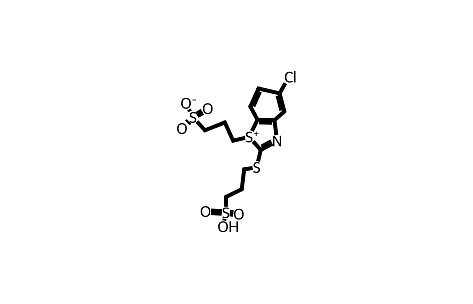 O=S(=O)([O-])CCC[s+]1c(SCCCS(=O)(=O)O)nc2cc(Cl)ccc21